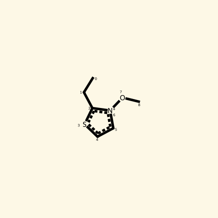 CCc1scc[n+]1OC